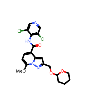 COc1ccc(C(=O)Nc2c(Cl)cncc2Cl)c2cc(COC3CCCCO3)nn12